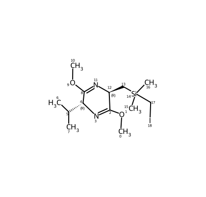 COC1=N[C@H](C(C)C)C(OC)=N[C@H]1C[Si](C)(C)CI